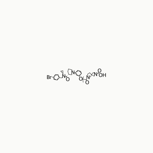 CC(C)(Oc1cccc(N2CCC[C@@H](C(=O)N(Cc3ccc(Br)cc3)C3CC3)C2)c1)C(=O)N1CCC2(CN(C(=O)O)C2)C1